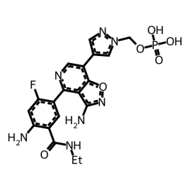 CCNC(=O)c1cc(-c2ncc(-c3cnn(COP(=O)(O)O)c3)c3onc(N)c23)c(F)cc1N